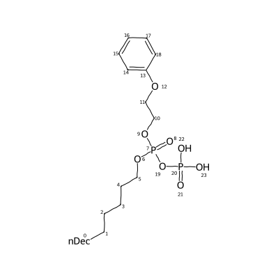 CCCCCCCCCCCCCCCOP(=O)(OCCOc1ccccc1)OP(=O)(O)O